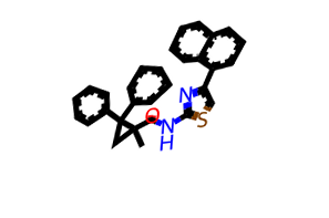 CC1(C(=O)Nc2nc(-c3cccc4ccccc34)cs2)CC1(c1ccccc1)c1ccccc1